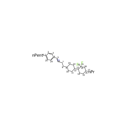 CCCCCc1ccc(/C=C/CCC2CCC(C3CCC(CCC)CC3(F)F)CC2)cc1